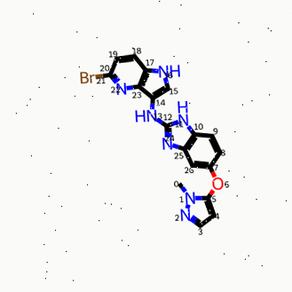 Cn1nccc1Oc1ccc2[nH]c(Nc3c[nH]c4ccc(Br)nc34)nc2c1